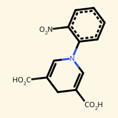 O=C(O)C1=CN(c2ccccc2[N+](=O)[O-])C=C(C(=O)O)C1